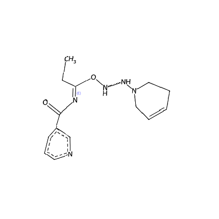 CC/C(=N\C(=O)c1cccnc1)ONNN1CC=CCC1